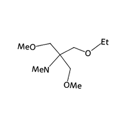 CCOCC(COC)(COC)NC